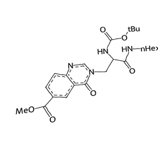 CCCCCCNC(=O)C(Cn1cnc2ccc(C(=O)OC)cc2c1=O)NC(=O)OC(C)(C)C